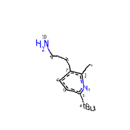 Cc1nc(C(C)(C)C)ccc1CCN